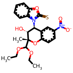 CCOC(OCC)[C@@]1(C)Oc2ccc([N+](=O)[O-])cc2[C@H](n2c(=S)oc3ccccc32)[C@H]1O